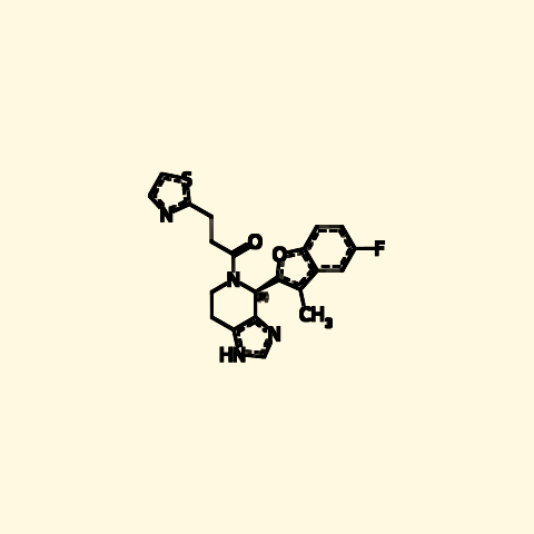 Cc1c([C@H]2c3nc[nH]c3CCN2C(=O)CCc2nccs2)oc2ccc(F)cc12